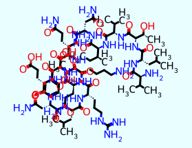 CC[C@H](C)[C@H](NC(=O)[C@@H](NC(=O)[C@@H](NC(=O)[C@H](CC(C)C)NC(=O)[C@@H](N)C(C)C)[C@@H](C)O)C(C)C)C(=O)N[C@@H](CC(N)=O)C(=O)N[C@@H](CCC(N)=O)C(=O)N[C@H](C(=O)N[C@@H](CCC(N)=O)C(=O)N[C@@H](CCCCN)C(=O)N[C@@H](CCC(=O)O)C(=O)N[C@@H](CC(N)=O)C(=O)N[C@@H](CC(C)C)C(=O)N[C@@H](CCCNC(=N)N)C(=O)N[C@@H](CCCCN)C(=O)N[C@@H](Cc1ccccc1)C(=O)O)[C@@H](C)O